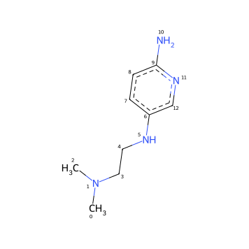 CN(C)CCNc1ccc(N)nc1